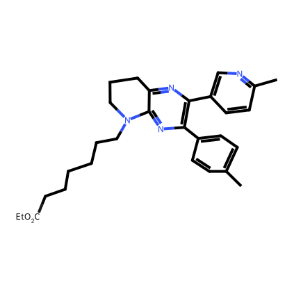 CCOC(=O)CCCCCCN1CCCc2nc(-c3ccc(C)nc3)c(-c3ccc(C)cc3)nc21